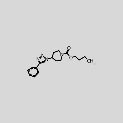 CCCCOC(=O)N1CCC(n2cc(-c3ccccc3)nn2)CC1